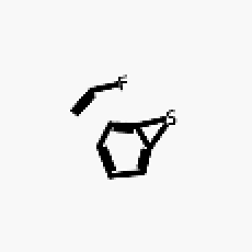 C=CF.c1ccc2c(c1)S2